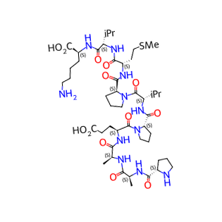 CSCC[C@H](NC(=O)[C@@H]1CCCN1C(=O)[C@@H](NC(=O)[C@@H]1CCCN1C(=O)[C@H](CCC(=O)O)NC(=O)[C@H](C)NC(=O)[C@H](C)NC(=O)[C@@H]1CCCN1)C(C)C)C(=O)N[C@H](C(=O)N[C@@H](CCCCN)C(=O)O)C(C)C